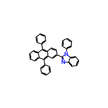 c1ccc(-c2c3ccccc3c(-c3ccccc3)c3cc(-c4nc5ccccc5n4-c4ccccc4)ccc23)cc1